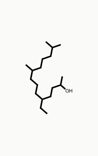 CCC(CCCC(C)CCCC(C)C)CCC(C)O